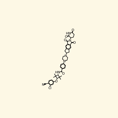 CC1(C)[C@H](NC(=O)c2ccc(N3CCN(C4Cc5cc6c(cc5C4)C(=O)N(C4CCC(=O)NC4=O)C6=O)CC3)cc2)C(C)(C)[C@H]1Oc1ccc(C#N)c(Cl)c1